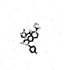 Cn1ncnc1C(=O)C12CC(C=N)=C(Nc3ccc(F)cc3)C=C1CCN(C(=O)OC(C)(C)C)C2